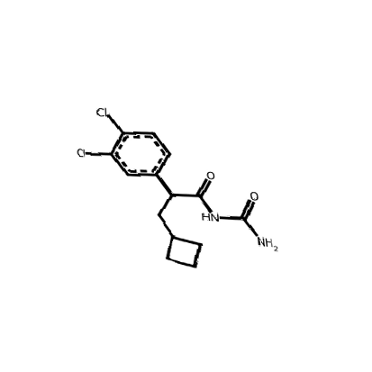 NC(=O)NC(=O)C(CC1CCC1)c1ccc(Cl)c(Cl)c1